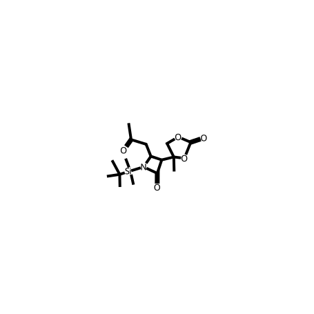 CC(=O)CC1C(C2(C)COC(=O)O2)C(=O)N1[Si](C)(C)C(C)(C)C